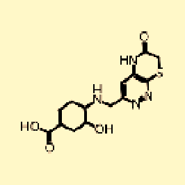 O=C1CSc2nnc(CNC3CCC(C(=O)O)CC3O)cc2N1